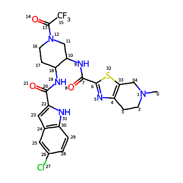 CN1CCc2nc(C(=O)NC3CN(C(=O)C(F)(F)F)CCC3NC(=O)c3cc4cc(Cl)ccc4[nH]3)sc2C1